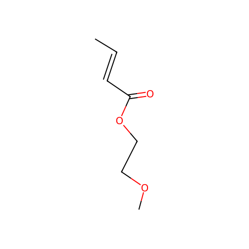 C/C=C/C(=O)OCCOC